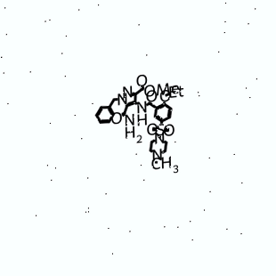 CCOc1ccc(S(=O)(=O)N2CCN(C)CC2)cc1C(=O)Nc1c(C(=O)OC)nn(Cc2ccccc2)c1C(N)=O